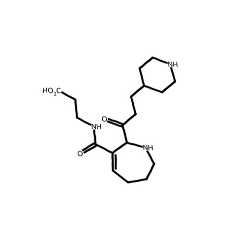 O=C(O)CCNC(=O)C1=CCCCNC1C(=O)CCC1CCNCC1